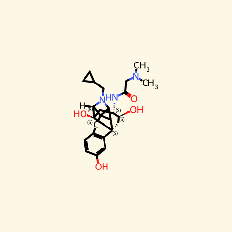 CN(C)CC(=O)N[C@H]1C[C@@]2(O)[C@@H]3N(CC4CC4)C4C5C43Cc3ccc(O)cc3[C@]52C[C@@H]1O